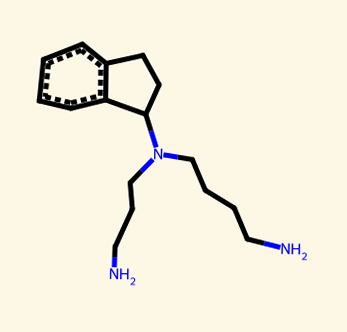 NCCCCN(CCCN)C1CCc2ccccc21